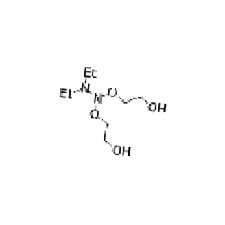 CCN(CC)N(OCCO)OCCO